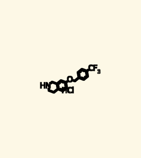 Cl.FC(F)(F)c1ccc(COc2ccc3c(c2)CNCC3)cc1